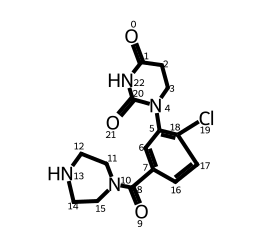 O=C1CCN(c2cc(C(=O)N3CCNCC3)ccc2Cl)C(=O)N1